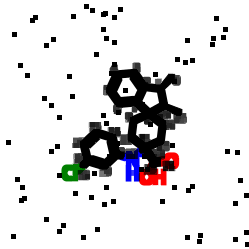 C[C@@H]1c2ccccc2C2(CCC(Nc3cccc(Cl)c3)(C(=O)O)CC2)[C@@H]1C